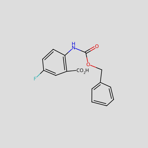 O=C(Nc1ccc(F)cc1C(=O)O)OCc1ccccc1